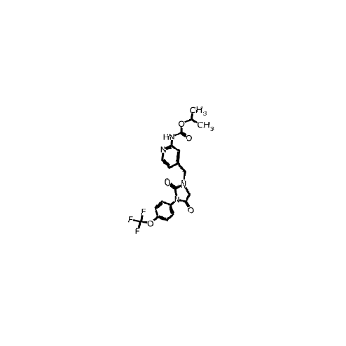 CC(C)OC(=O)Nc1cc(CN2CC(=O)N(c3ccc(OC(F)(F)F)cc3)C2=O)ccn1